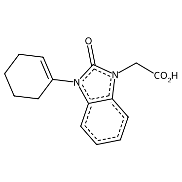 O=C(O)Cn1c(=O)n(C2=CCCCC2)c2ccccc21